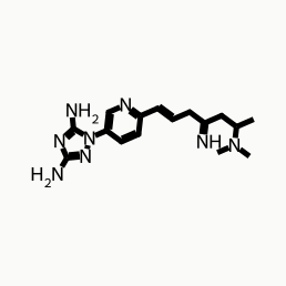 CC(CC(=N)CC=Cc1ccc(-n2nc(N)nc2N)cn1)N(C)C